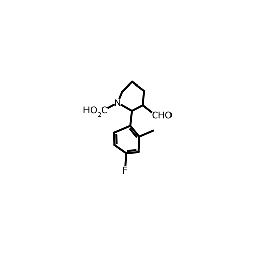 Cc1cc(F)ccc1C1C(C=O)CCCN1C(=O)O